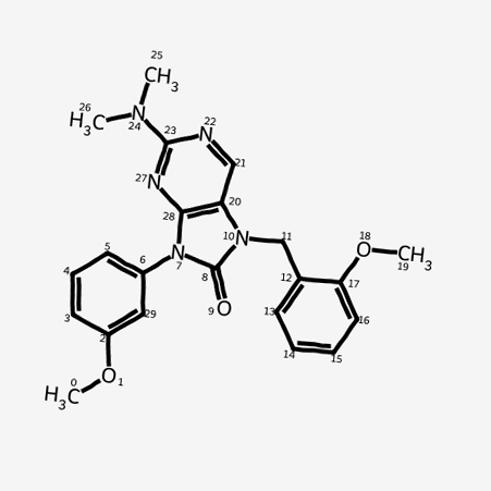 COc1cccc(-n2c(=O)n(Cc3ccccc3OC)c3cnc(N(C)C)nc32)c1